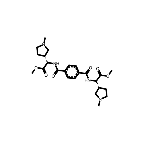 COC(=O)C(NC(=O)c1ccc(C(=O)NC(C(=O)OC)[C@@H]2CCN(C)C2)cc1)[C@@H]1CCN(C)C1